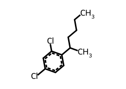 CCCCC(C)c1ccc(Cl)cc1Cl